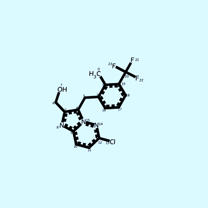 Cc1c(Cc2c(CO)nc3ccc(Cl)nn23)cccc1C(F)(F)F